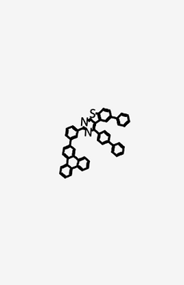 c1ccc(-c2ccc(-c3nc(-c4cccc(-c5ccc6c7ccccc7c7ccccc7c6c5)c4)nc4sc5ccc(-c6ccccc6)cc5c34)cc2)cc1